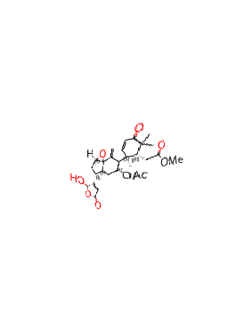 C=C1C([C@@]2(C)C=CC(=O)C(C)(C)[C@@H]2CC(=O)OC)[C@H](OC(C)=O)C[C@@]2(C)[C@H](C3=CC(=O)OC3O)C[C@H]3OC132